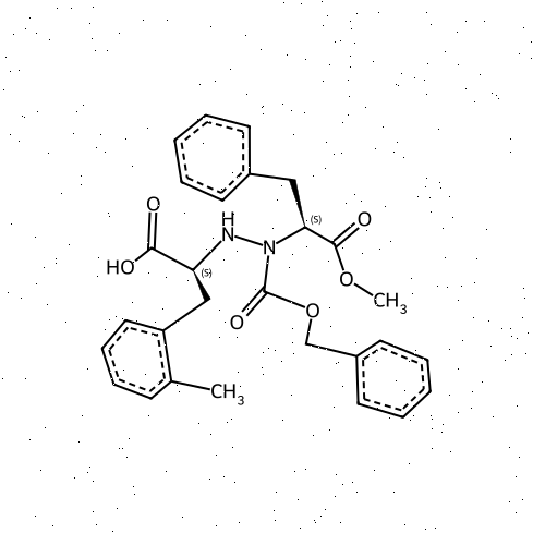 COC(=O)[C@H](Cc1ccccc1)N(N[C@@H](Cc1ccccc1C)C(=O)O)C(=O)OCc1ccccc1